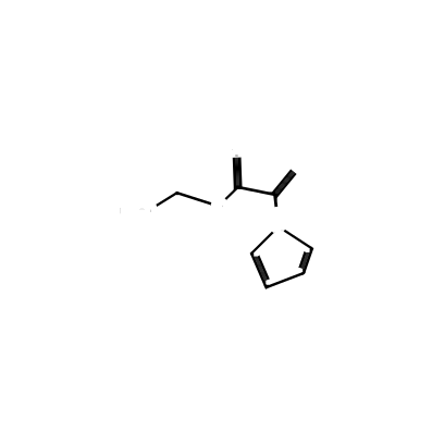 C=C(C(=O)OCCCCCCC)[SH]1C=CC=C1